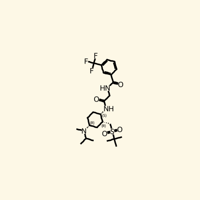 CC(C)N(C)[C@@H]1CC[C@H](NC(=O)CNC(=O)c2cccc(C(F)(F)F)c2)[C@H](CS(=O)(=O)C(C)(C)C)C1